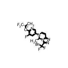 CC1N(c2cnc(O[C@@H](C)C(F)(F)F)c(F)c2)C=Cc2nnc(C(F)(F)Br)n21